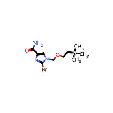 C[Si](C)(C)CCOCn1cc(C(N)=O)nc1Br